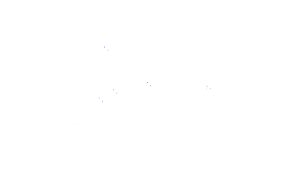 N#Cc1ccc(-c2cc(C=O)nn2-c2cccnc2)nc1